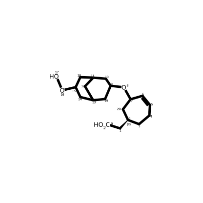 O=C(O)C[C@@H]1CCC=CC(OC2CC3CC(CC(OO)C3)C2)C1